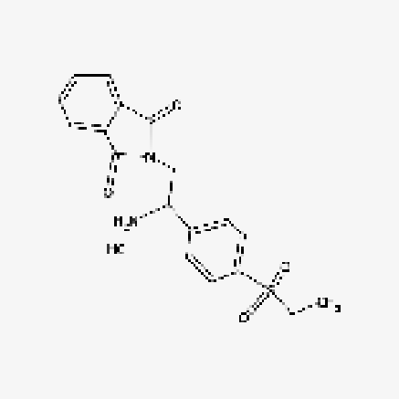 CCS(=O)(=O)c1ccc(C(N)CN2C(=O)c3ccccc3C2=O)cc1.Cl